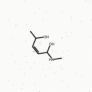 CNC(O)/C=C\C(C)O